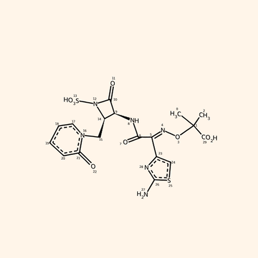 CC(C)(ON=C(C(=O)N[C@@H]1C(=O)N(S(=O)(=O)O)[C@@H]1Cn1ccccc1=O)c1csc(N)n1)C(=O)O